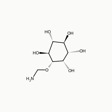 NCO[C@@H]1[C@@H](O)[C@H](O)[C@@H](O)[C@H](O)[C@@H]1O